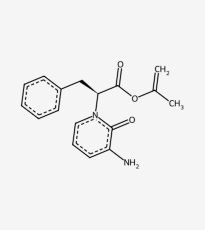 C=C(C)OC(=O)[C@H](Cc1ccccc1)n1cccc(N)c1=O